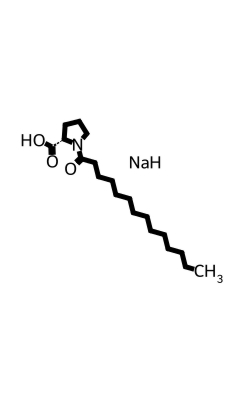 CCCCCCCCCCCCCC(=O)N1CCC[C@H]1C(=O)O.[NaH]